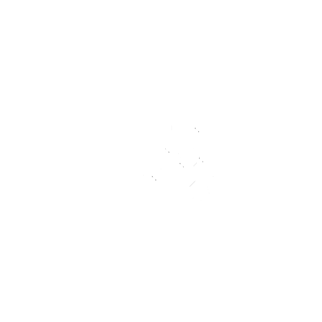 O=C(O)Cc1ccc(Nc2nc(-c3c(F)cccc3F)nc3c2C(O)NC3)cn1